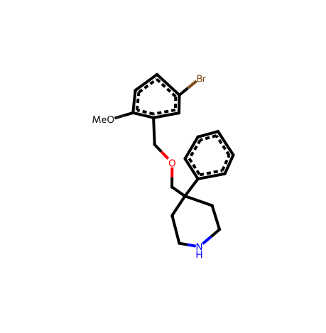 COc1ccc(Br)cc1COCC1(c2ccccc2)CCNCC1